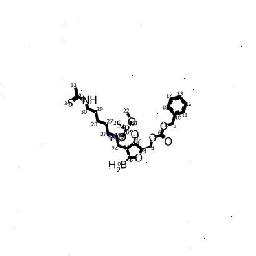 B[C@@H]1O[C@H](COC(=O)OCc2ccccc2)[C@H](OP(O)(=S)OC)C1C/C=C/CCCCNC(C)=S